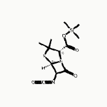 CC1(C)S[C@@H]2C(N=C=O)C(=O)N2[C@H]1C(=O)O[Si](C)(C)C